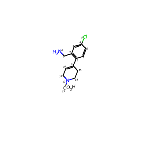 NCc1cc(Cl)ccc1C1=CCN(C(=O)O)CC1